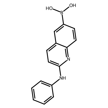 OB(O)c1ccc2nc(Nc3ccccc3)ccc2c1